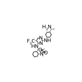 C[C@H](N)c1ccc(Nc2ncc(C(F)(F)F)c(NCc3ccccc3N(C)S(C)(=O)=O)n2)cc1